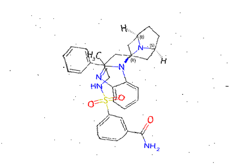 Cc1nc2ccccc2n1[C@H]1C[C@H]2CC[C@@H](C1)N2CCC(CNS(=O)(=O)c1cccc(C(N)=O)c1)c1ccccc1